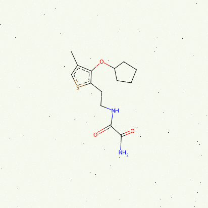 Cc1csc(CCNC(=O)C(N)=O)c1OC1CCCC1